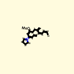 C=C/C=C(\C=C(/CCC(=C)/C=C\C=C/C)OC)N1CCCC1